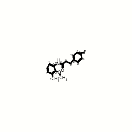 COc1c(C)cccc1NC(=O)CCc1ccc(F)cc1